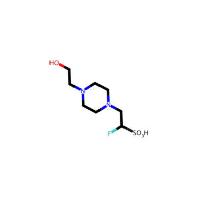 O=S(=O)(O)C(F)CN1CCN(CCO)CC1